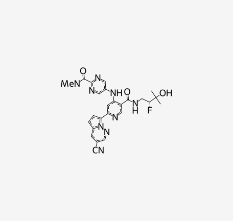 CNC(=O)c1ncc(Nc2cc(-c3ccc4cc(C#N)cnn34)ncc2C(=O)NC[C@@H](F)C(C)(C)O)cn1